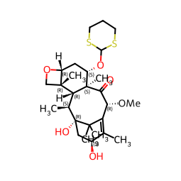 CO[C@H]1C(=O)[C@]2(C)[C@@H](OC3SCCCS3)C[C@H]3OC[C@@]3(C)[C@H]2[C@H](C)[C@]2(O)C[C@H](O)C(C)=C1C2(C)C